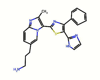 Cc1nc2ccc(CCCN)cn2c1-c1nc(-c2ccccc2)c(-c2ncc[nH]2)s1